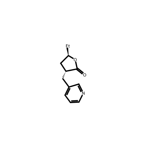 CC[C@@H]1C[C@@H](Cc2cccnc2)C(=O)O1